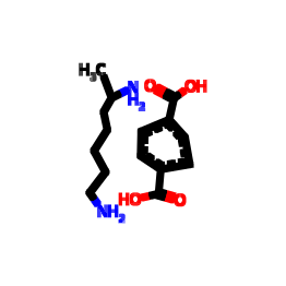 CC(N)CCCCCN.O=C(O)c1ccc(C(=O)O)cc1